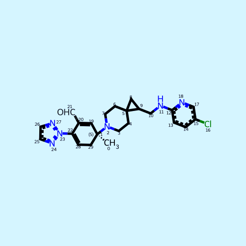 C[C@@]1(N2CCC3(CC2)CC3CNc2ccc(Cl)cn2)C=C(C=O)C(n2nccn2)=CC1